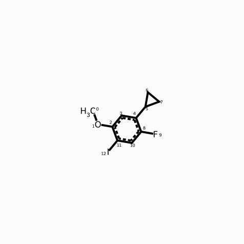 COc1cc(C2CC2)c(F)cc1I